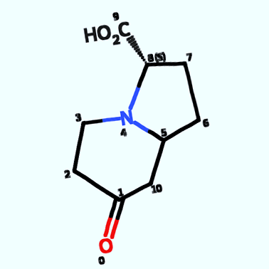 O=C1CCN2C(CC[C@H]2C(=O)O)C1